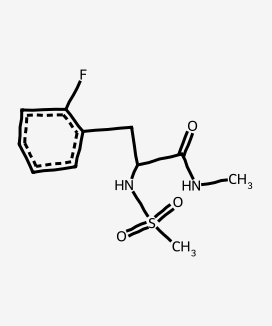 CNC(=O)C(Cc1ccccc1F)NS(C)(=O)=O